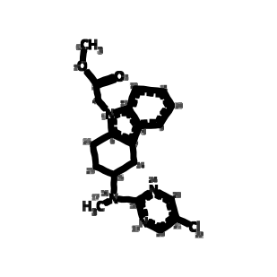 COC(=O)Cn1c2c(c3ccccc31)CC(N(C)c1ncc(Cl)cn1)CC2